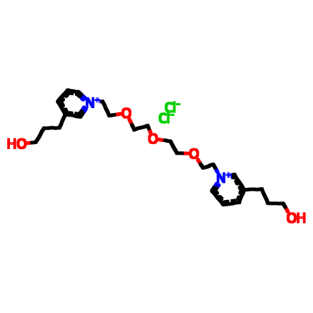 OCCCc1ccc[n+](CCOCCOCCOCC[n+]2cccc(CCCO)c2)c1.[Cl-].[Cl-]